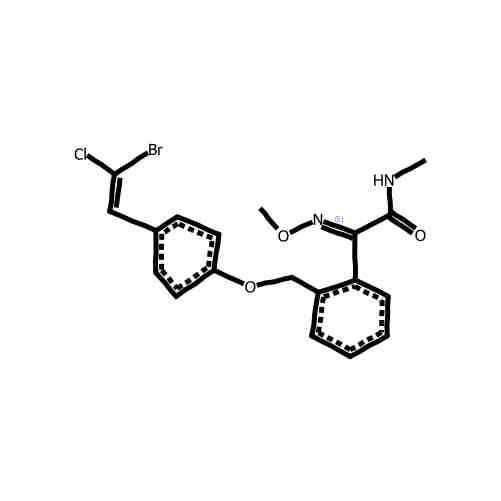 CNC(=O)/C(=N/OC)c1ccccc1COc1ccc(C=C(Cl)Br)cc1